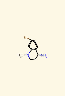 CN1CCC(N)c2ccc(Br)cc21